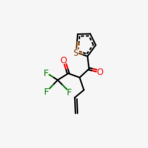 C=CCC(C(=O)c1cccs1)C(=O)C(F)(F)F